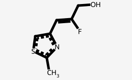 Cc1nc(/C=C(\F)CO)cs1